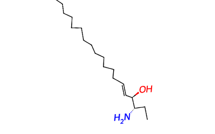 CCCCCCCCCCCCC/C=C/[C@@H](O)[C@@H](N)CC